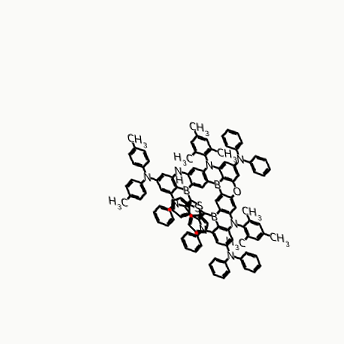 Cc1ccc(N(c2ccc(C)cc2)c2cc3c4c(c2)N(c2ccccc2)c2c(sc5ccccc25)B4c2cc4c(cc2N3)N(c2c(C)cc(C)cc2C)c2cc(N(c3ccccc3)c3ccccc3)cc3c2B4c2cc4c(cc2O3)N(c2c(C)cc(C)cc2C)c2cc(N(c3ccccc3)c3ccccc3)cc3c2B4c2sc4ccccc4c2N3c2ccccc2)cc1